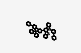 c1ccc(-c2cccc(-n3c4ccccc4c4cc(-c5ccc6c(c5)-c5ccc(-c7ccccc7)cc5C6(c5ccccc5)c5ccccc5)c5c6ccccc6sc5c43)c2)cc1